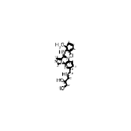 Cc1cccc(Cl)c1Nc1nc2ccc(CNCC(O)CO)nc2n2cncc12